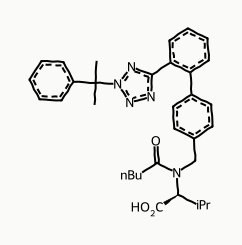 CCCCC(=O)N(Cc1ccc(-c2ccccc2-c2nnn(C(C)(C)c3ccccc3)n2)cc1)[C@H](C(=O)O)C(C)C